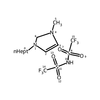 CCCCCCCN1C=CN(C)C1.O=S(=O)(NS(=O)(=O)C(F)(F)F)C(F)(F)F